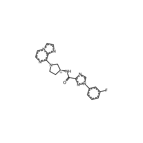 O=C(N[C@H]1CCN(c2nccn3ccnc23)C1)c1ncn(-c2cccc(F)c2)n1